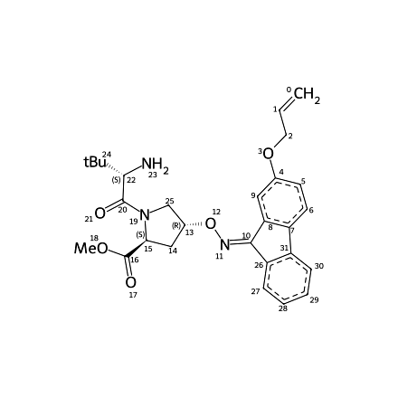 C=CCOc1ccc2c(c1)C(=NO[C@@H]1C[C@@H](C(=O)OC)N(C(=O)[C@@H](N)C(C)(C)C)C1)c1ccccc1-2